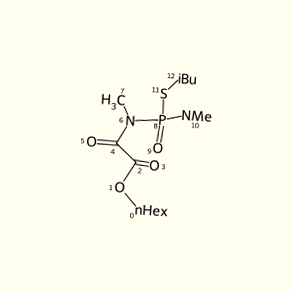 CCCCCCOC(=O)C(=O)N(C)P(=O)(NC)SC(C)CC